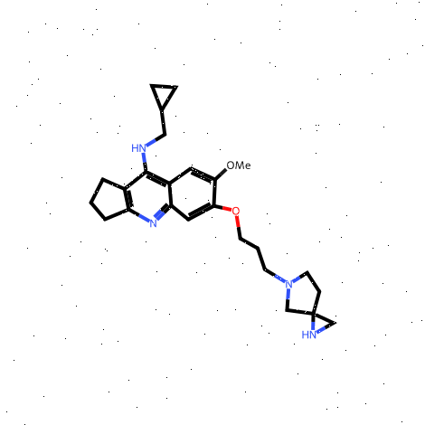 COc1cc2c(NCC3CC3)c3c(nc2cc1OCCCN1CCC2(CN2)C1)CCC3